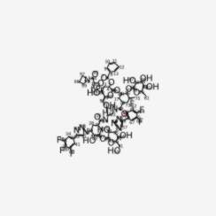 CCC[C@H](OC1C(OC(=O)c2ccccc2)[C@H](O[C@@H]2CC(C(=O)NCCNC(=O)C3CC(n4cc(-c5cc(F)c(F)c(F)c5)nn4)C(O)[C@H](O[C@@H]4OC(CO)[C@H](O)C(n5cc(-c6cc(F)c(F)c(F)c6)nn5)C4O)C3)CC(C)C2O[C@@H]2OC(C)[C@@H](O)C(O)C2O)OC(CO)[C@@H]1O)C(=O)N1CCC1